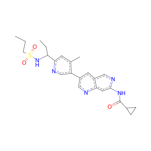 CCCS(=O)(=O)NC(CC)c1cc(C)c(-c2cnc3cc(NC(=O)C4CC4)ncc3c2)cn1